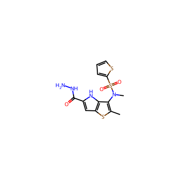 Cc1sc2cc(C(=O)NN)[nH]c2c1N(C)S(=O)(=O)c1cccs1